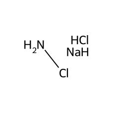 Cl.NCl.[NaH]